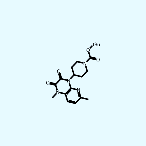 Cc1ccc2c(n1)n(C1CCN(C(=O)OC(C)(C)C)CC1)c(=O)c(=O)n2C